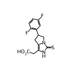 O=C(O)Cc1[nH]c(=S)n2c1CC(c1cc(F)ccc1F)C2